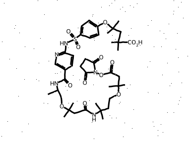 CC(COC(C)(C)CC(=O)NC(C)(C)CCOC(C)(C)CC(=O)ON1C(=O)CCC1=O)NC(=O)c1ccc(NS(=O)(=O)c2ccc(OC(C)(C)CC(C)(C)C(=O)O)cc2)nc1